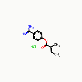 C/C=C(\C)C(=O)Oc1ccc(C(=N)N)cc1.Cl